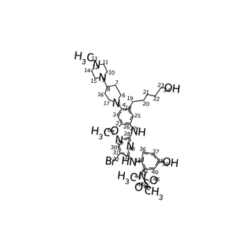 COc1cc(N2CCC(N3CCN(C)CC3)CC2)c(CCCCCO)cc1Nc1ncc(Br)c(Nc2ccc(O)cc2N(C)S(C)(=O)=O)n1